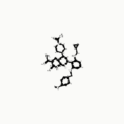 COc1ccc(COc2cccc(OCC3CC3)c2-c2cc(C3CCN(C(=O)O)CC3)c3cc(C(N)=O)c(=O)[nH]c3n2)cc1